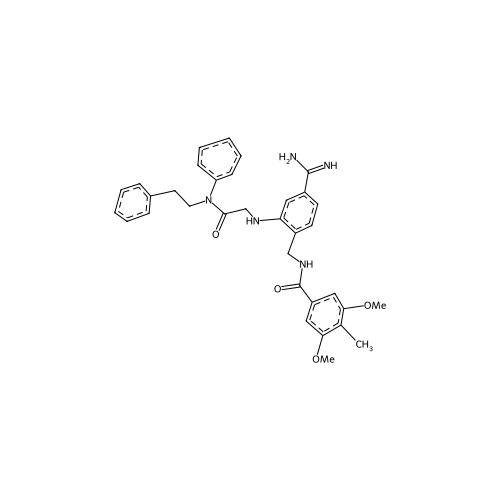 COc1cc(C(=O)NCc2ccc(C(=N)N)cc2NCC(=O)N(CCc2ccccc2)c2ccccc2)cc(OC)c1C